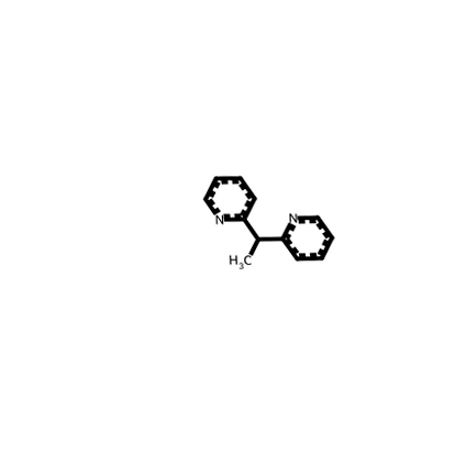 C[C](c1ccccn1)c1ccccn1